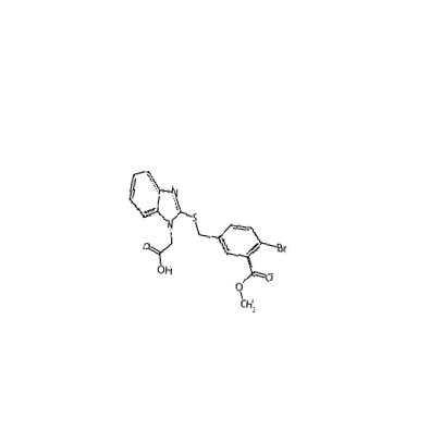 COC(=O)c1cc(CSc2nc3ccccc3n2CC(=O)O)ccc1Br